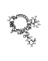 C=C[C@@H]1C[C@@]12NC(=O)[C@@H]1C[C@@H](OC(=O)N3Cc4cccc(F)c4C3)CN1C(=O)[C@@H](NC(=O)[C@@H]1CCCCN1C(C)C)CCCCCCCNc1ccccc1S(=O)(=O)NC2=O